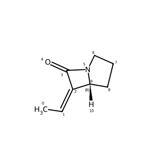 CC=C1C(=O)N2CCC[C@H]12